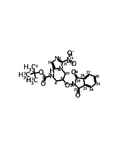 CC(C)(C)OC(=O)NCC(Cn1ccnc1[N+](=O)[O-])ON1C(=O)c2ccccc2C1=O